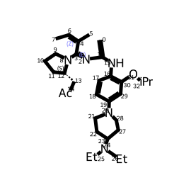 C=C(/N=C(\C(C)=C/C)N1CCC[C@H]1CC(C)=O)Nc1ccc(N2CCC(N(CC)CC)CC2)cc1OC(C)C